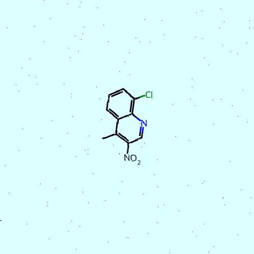 Cc1c([N+](=O)[O-])cnc2c(Cl)cccc12